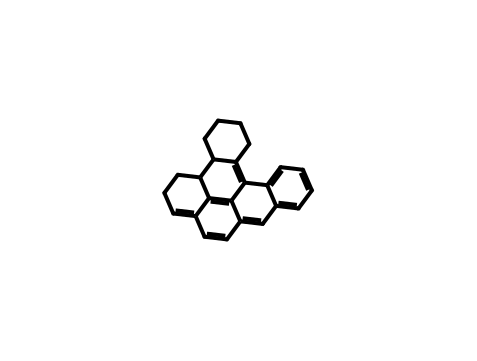 C1=c2ccc3cc4ccccc4c4c3c2C(CC1)C1CCCCC=41